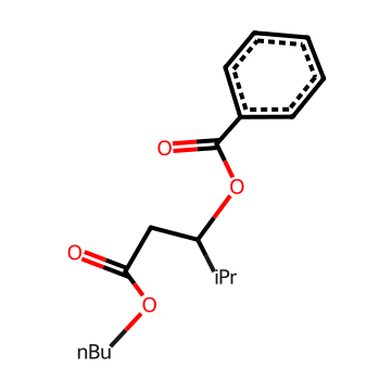 CCCCOC(=O)CC(OC(=O)c1ccccc1)C(C)C